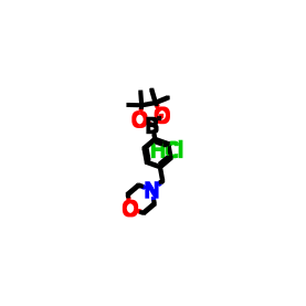 CC1(C)OB(c2ccc(CN3CCOCC3)cc2)OC1(C)C.Cl